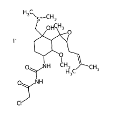 COC1C(NC(=O)NC(=O)CCl)CCC(O)(C[S+](C)C)C1C1(C)OC1CC=C(C)C.[I-]